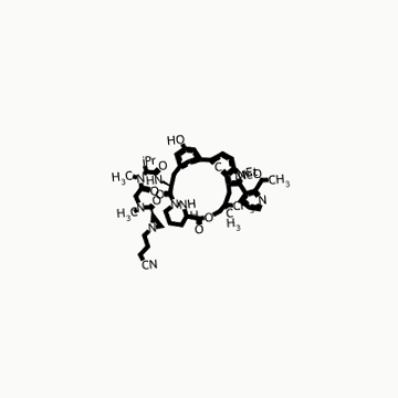 CCn1c(-c2cccnc2[C@H](C)OC)c2c3cc(ccc31)-c1cc(O)cc(c1)C[C@H](NC(=O)C(C(C)C)N(C)C(=O)CN(C)C(=O)[C@H]1CN1CCCC#N)C(=O)N1CCC[C@H](N1)C(=O)OCC(C)(C)C2